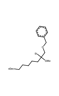 [CH2]OC(CC)(CCCCCCCCCCCCCCC)COCc1ccccc1